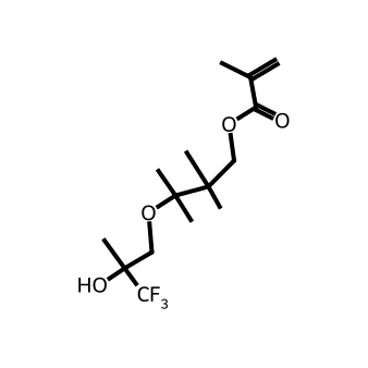 C=C(C)C(=O)OCC(C)(C)C(C)(C)OCC(C)(O)C(F)(F)F